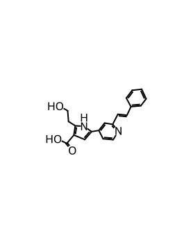 O=C(O)c1cc(-c2ccnc(C=Cc3ccccc3)c2)[nH]c1CCO